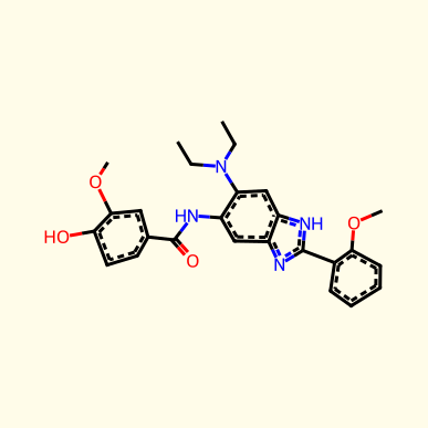 CCN(CC)c1cc2[nH]c(-c3ccccc3OC)nc2cc1NC(=O)c1ccc(O)c(OC)c1